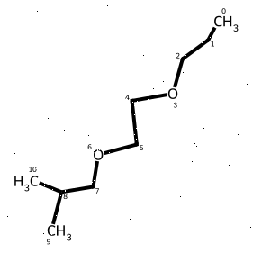 CC[CH]OCCOCC(C)C